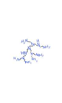 NCCNCCN(CCN)CCN(CCNCCN(CCN)CCN)CCN(CCN)CCN